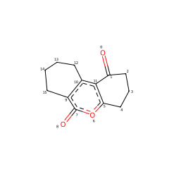 O=C1CCCc2oc(=O)c3c(c21)CCCC3